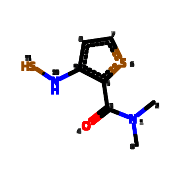 CN(C)C(=O)c1sccc1NS